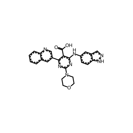 O=C(O)c1c(Nc2ccc3[nH]ncc3c2)nc(N2CCOCC2)nc1-c1cnc2ccccc2c1